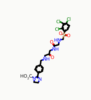 O=C(CNCc1ccc(C2=NCCN2C(=O)O)cc1)CNC(=O)CNCS(=O)(=O)c1ccc(Cl)c(Cl)c1Cl